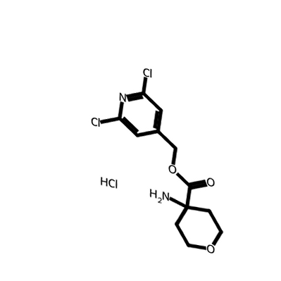 Cl.NC1(C(=O)OCc2cc(Cl)nc(Cl)c2)CCOCC1